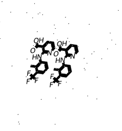 Cc1c(Nc2ncccc2C(=O)O)cccc1C(F)(F)F.Cc1c(Nc2ncccc2C(=O)O)cccc1C(F)(F)F